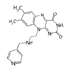 Cc1cc2nc3c(=O)[nH]c(=O)nc-3n(CCNCc3ccncc3)c2cc1C